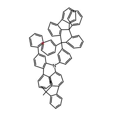 CC1(C)c2ccccc2-c2ccc(N(c3cccc(C4(c5ccccc5)c5ccccc5C5(c6ccccc6)c6ccccc6-c6cccc4c65)c3)c3cc(-c4ccccc4)ccc3-c3ccccc3)cc21